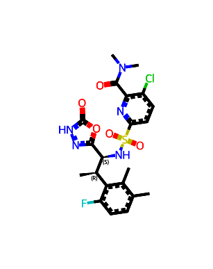 Cc1ccc(F)c([C@@H](C)[C@H](NS(=O)(=O)c2ccc(Cl)c(C(=O)N(C)C)n2)c2n[nH]c(=O)o2)c1C